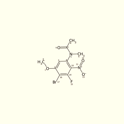 COc1cc(N(C)C(C)=O)c([N+](=O)[O-])c(F)c1Br